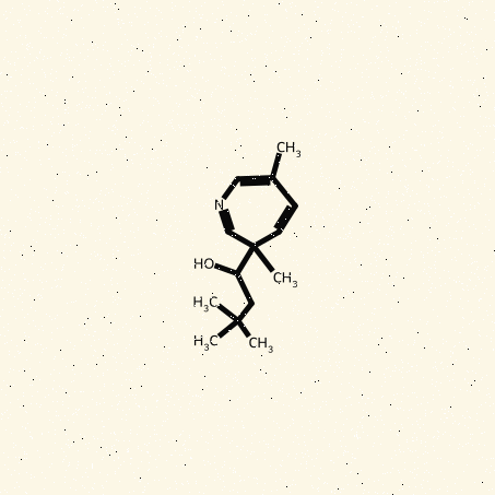 CC1=CN=CC(C)(C(O)CC(C)(C)C)C=C1